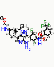 COCCN[C@H]1CC[C@H](c2cnc(N)c3c(-c4cc(F)c(NS(=O)(=O)c5cccc(C(F)(F)F)c5)cc4F)nn(C(C)C)c32)CC1